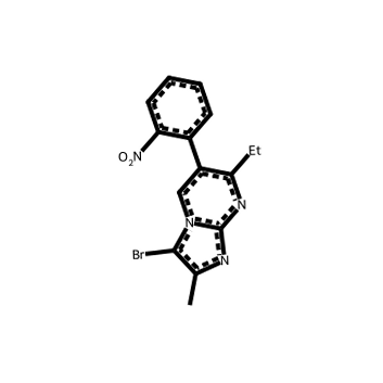 CCc1nc2nc(C)c(Br)n2cc1-c1ccccc1[N+](=O)[O-]